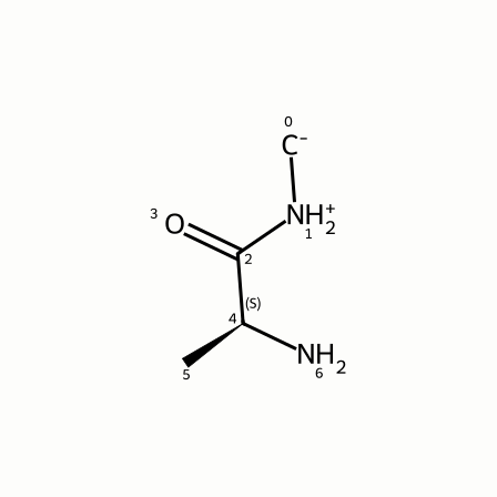 [CH2-][NH2+]C(=O)[C@H](C)N